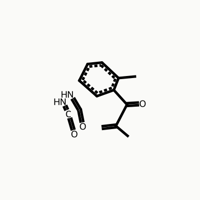 C=C(C)C(=O)c1ccccc1C.N=C=O.N=C=O